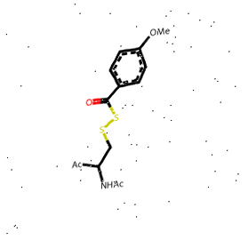 COc1ccc(C(=O)SSCC(NC(C)=O)C(C)=O)cc1